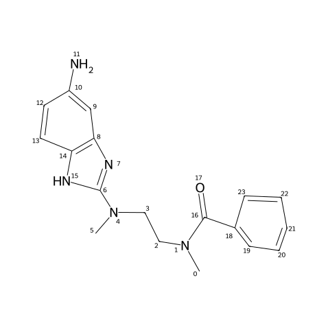 CN(CCN(C)c1nc2cc(N)ccc2[nH]1)C(=O)c1ccccc1